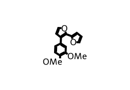 COc1ccc(-c2ccoc2-c2ccco2)cc1OC